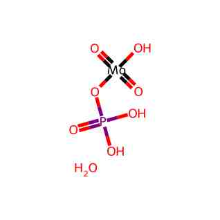 O.O=P(O)(O)[O][Mo](=[O])(=[O])[OH]